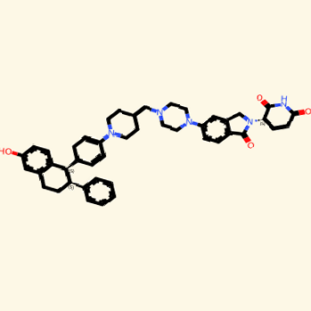 O=C1CC[C@H](N2Cc3cc(N4CCN(CC5CCN(C6=CCC([C@@H]7c8ccc(O)cc8CC[C@@H]7c7ccccc7)C=C6)CC5)CC4)ccc3C2=O)C(=O)N1